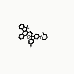 CC1CCCCN1c1ccc(C2(c3ccc(F)cc3)C=Cc3c4c(c5ccccc5c3O2)-c2ccccc2C4(C)C)cc1